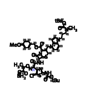 BOC(=O)[C@@H](C)O/N=C(\C(=O)NC1C(=O)N2C(C(=O)OCc3ccc(OC)cc3)=C(C[n+]3cccc4c3ccn4CCCN(C)C(=O)OC(C)(C)C)CSC12)c1nc(NC(=O)OC(C)(C)C)sc1Cl